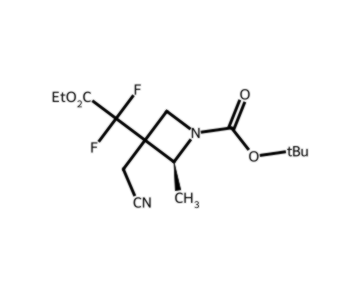 CCOC(=O)C(F)(F)C1(CC#N)CN(C(=O)OC(C)(C)C)[C@H]1C